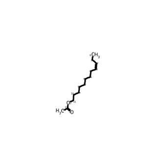 CC/C=C\CCCCCCCCOC(C)=O